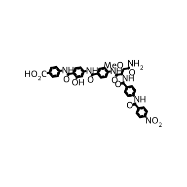 COC(C(N)=O)C(NC(=O)c1ccc(NC(=O)c2ccc([N+](=O)[O-])cc2)cc1)C(=O)Nc1ccc(C(=O)Nc2ccc(C(=O)Nc3ccc(C(=O)O)cc3)c(O)c2)cc1